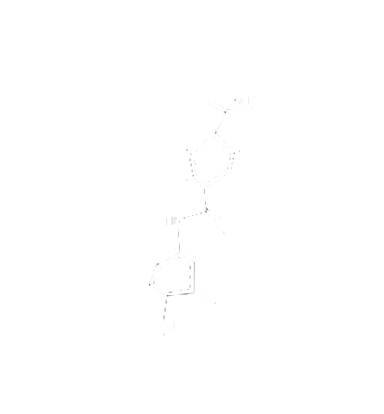 NC(=O)c1ccc(C(=O)Nc2ccc(O)c(F)c2)cn1